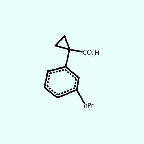 CCCc1cccc(C2(C(=O)O)CC2)c1